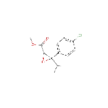 COC(=O)C1OC1(c1ccc(Cl)cc1)C(C)C